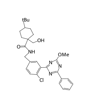 COc1nc(-c2ccccc2)nc(-c2cc(CNC(=O)C3(CO)CCC(C(C)(C)C)CC3)ccc2Cl)n1